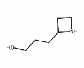 OCCCC1CCN1